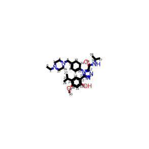 CCN1CCN(CC2=CC=C(n3c(C(=O)NC(C)C)nnc3-c3cc(C(C)C)c(OC)cc3O)CC2)CC1